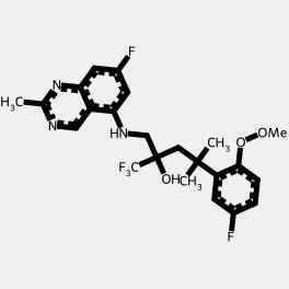 COOc1ccc(F)cc1C(C)(C)CC(O)(CNc1cc(F)cc2nc(C)ncc12)C(F)(F)F